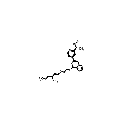 CCN[C@H](C)c1cc(-c2cn3ncnc3c(OCCOCCC(N)CCC(F)(F)F)n2)ccn1